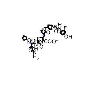 Nc1nc(/C(=N/OC2CCCC2)C(=O)N[C@@H]2C(=O)N3C(C(=O)[O-])=C(/C=C4\CCN(Cc5cc[n+](CC(=O)Nc6ccc(O)cc6F)cc5)C4=O)CS[C@H]23)cs1